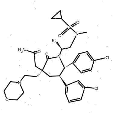 CC[C@@H](CN(C)S(=O)(=O)C1CC1)N1C(=O)[C@](CCN2CCOCC2)(CC(N)=O)C[C@H](c2cccc(Cl)c2)[C@H]1c1ccc(Cl)cc1